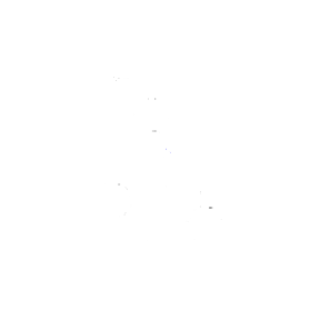 COc1ccc(N=C(Oc2cccc(C)c2)/C(C)=C/Oc2ccccc2)cc1